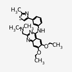 CCOc1cc2nc(CN(C)C)nc(Nc3cccc(-c4csc(C)n4)c3)c2cc1OCC